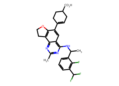 Cc1nc(NC(C)c2cccc(C(F)F)c2F)c2cc(C3=CCC(C(=O)O)CC3)c3c(c2n1)CCO3